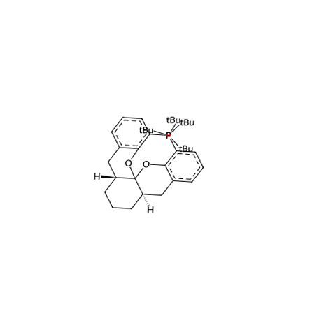 CC(C)(C)P(c1cccc2c1OC13Oc4c(cccc4P(C(C)(C)C)C(C)(C)C)C[C@H]1CCC[C@@H]3C2)C(C)(C)C